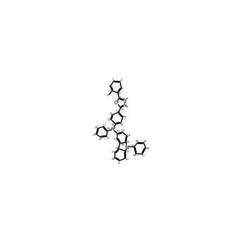 Cc1ccccc1-c1nnc(-c2ccc(N(c3ccccc3)c3ccc4c(c3)c3ccccc3n4-c3ccccc3)cc2)o1